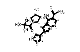 CC[C@H]1CN(C(=O)C(C)(C)C#N)C[C@H]1Nc1c(C(N)=O)cnn2cc(-c3cn[nH]c3)cc12